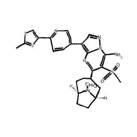 Cc1nc(-c2ccc(-c3cnn4c(N)c(S(C)(=O)=O)c(C5C[C@H]6CC[C@@H](C5)N6C=O)nc34)cn2)cs1